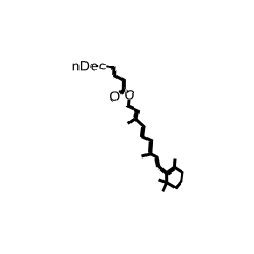 CCCCCCCCCCCCCC(=O)OC/C=C(C)/C=C/C=C(C)/C=C/C1=C(C)CCCC1(C)C